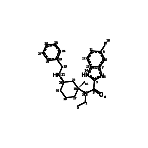 CCN(C(=O)c1nc2cc(F)ccc2[nH]1)[C@@]1(C)CCC[C@@H](NCc2ccccc2)C1